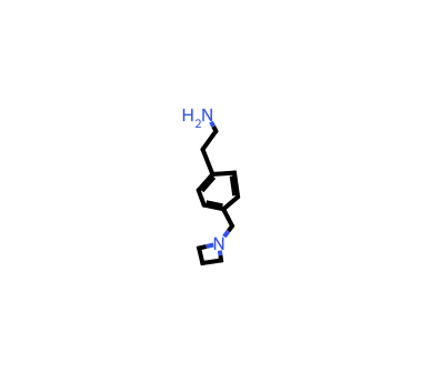 NCCc1ccc(CN2CCC2)cc1